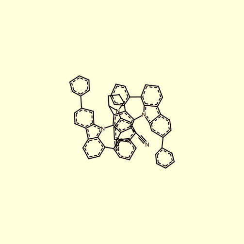 N#Cc1c(C#N)c(-n2c3cc(-c4ccccc4)ccc3c3cccc(-c4ccccc4)c32)c2c(c1-n1c3cc(-c4ccccc4)ccc3c3cccc(-c4ccccc4)c31)C1CCC2N1c1ccccc1